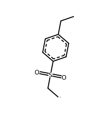 [CH2]CS(=O)(=O)c1ccc(CC)cc1